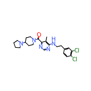 Cc1c(NCCc2ccc(Cl)c(Cl)c2)ncnc1C(=O)N1CCC(N2CCCC2)CC1